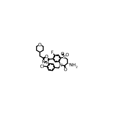 N[C@H]1CS(=O)(=O)c2cc(F)c(-c3nnc(CC4CCOCC4)o3)cc2N(Cc2ccc(Cl)cc2)C1=O